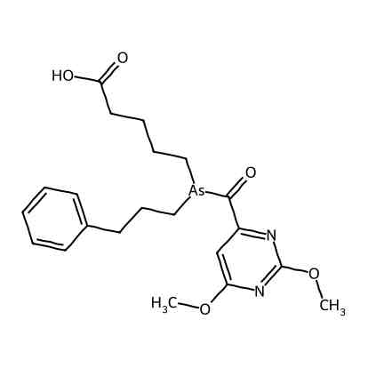 COc1cc(C(=O)[As](CCCCC(=O)O)CCCc2ccccc2)nc(OC)n1